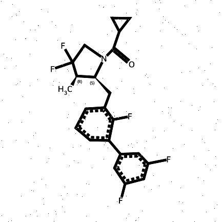 C[C@@H]1[C@H](Cc2cccc(-c3cc(F)cc(F)c3)c2F)N(C(=O)C2CC2)CC1(F)F